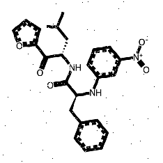 CC(C)C[C@H](NC(=O)[C@H](Cc1ccccc1)Nc1cccc([N+](=O)[O-])c1)C(=O)c1ccco1